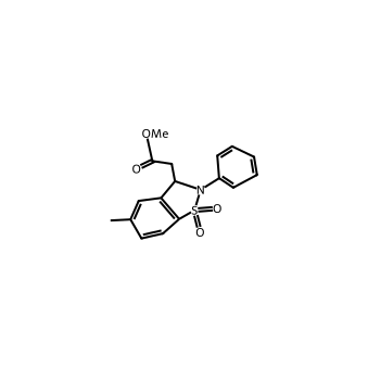 COC(=O)CC1c2cc(C)ccc2S(=O)(=O)N1c1ccccc1